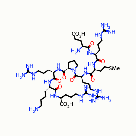 CSCC[C@H](NC(=O)[C@H](CCCNC(=N)N)NC(=O)[C@@H](N)CCC(=O)O)C(=O)N[C@@H](CCCNC(=N)N)C(=O)N1CCC[C@H]1C(=O)N[C@@H](CCCNC(=N)N)C(=O)N[C@@H](CCCCN)C(=O)N[C@@H](CCCNC(=N)N)C(=O)O